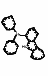 c1ccc(N(c2ccccc2)c2cccc3c2[nH]c2ccccc23)cc1